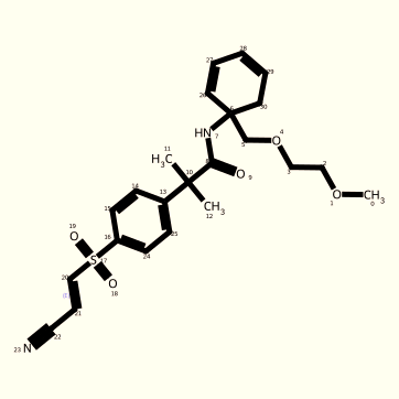 COCCOCC1(NC(=O)C(C)(C)c2ccc(S(=O)(=O)/C=C/C#N)cc2)C=CC=CC1